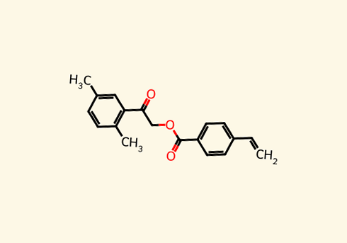 C=Cc1ccc(C(=O)OCC(=O)c2cc(C)ccc2C)cc1